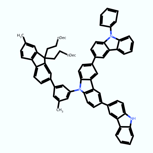 CCCCCCCCCCCCC1(CCCCCCCCCCCC)c2cc(C)ccc2-c2ccc(-c3cc(C)cc(-n4c5ccc(-c6ccc7[nH]c8ccccc8c7c6)cc5c5cc(-c6ccc7c(c6)c6ccccc6n7-c6ccccc6)ccc54)c3)cc21